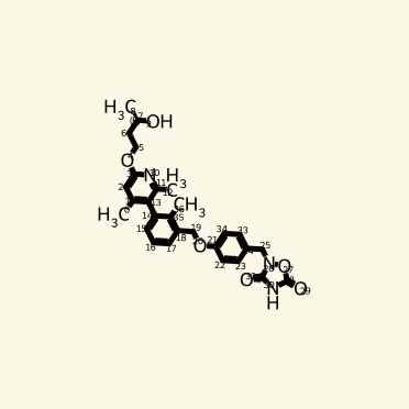 Cc1cc(OCC[C@@H](C)O)nc(C)c1-c1cccc(COc2ccc(Cn3oc(=O)[nH]c3=O)cc2)c1C